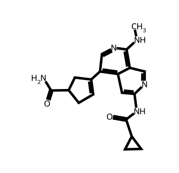 CNc1ncc(C2=CCC(C(N)=O)C2)c2cc(NC(=O)C3CC3)ncc12